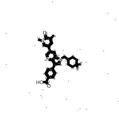 Cc1cc(-c2cnc3c(-c4ccc(C(=O)O)cc4)cn(CC4CCC(F)(F)CC4)c3c2)cn(C)c1=O